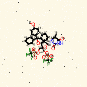 COc1ccc(C(O[C@@H]2C[C@H](n3cc(C)c(=O)[nH]c3=O)OC2(COS(=O)(=O)C(F)(F)F)COS(=O)(=O)C(F)(F)F)(c2ccccc2)c2ccccc2)cc1